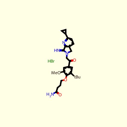 Br.COc1cc(C(=O)CN2Cc3ccc(C4CC4)nc3C2=N)cc(C(C)(C)C)c1OCCCC(N)=O